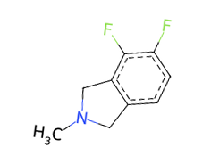 CN1Cc2ccc(F)c(F)c2C1